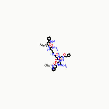 CN[C@@H](Cc1c[nH]c2ccccc12)C(=O)NC(CCCCNC(=O)CC(NC(=O)CNC(=O)CC1CCCC1)C(=O)N[C@@H](CCN)C(=O)NC(Cc1ccccc1)C(=O)NCC=O)C(N)=O